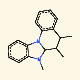 CC1c2ccccc2N2c3ccccc3N(C)C2C1C